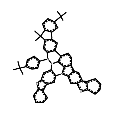 CC(C)(C)c1ccc(N2B3c4cc5sc6ccccc6c5cc4-n4c5cc6sc7ccccc7c6cc5c5ccc(c3c54)-c3cc4c(cc32)C(C)(C)c2ccc(C(C)(C)C)cc2-4)cc1